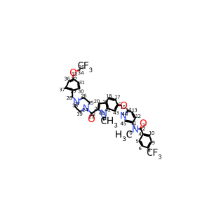 CN(C(=O)c1ccc(C(F)(F)F)cc1)c1ccc(Oc2ccc3cc(C(=O)N4CCN(Cc5ccc(OCC(F)(F)F)cc5)CC4)n(C)c3c2)nc1